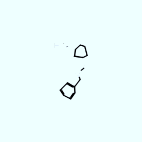 N[C@@H]1CCC[C@H](COCc2ccccc2)C1